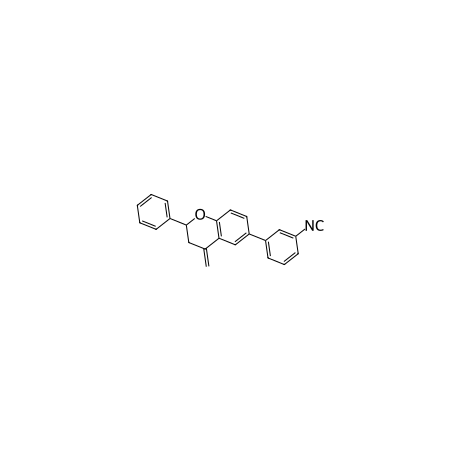 [C-]#[N+]c1cccc(-c2ccc3c(c2)C(=C)CC(c2ccccc2)O3)c1